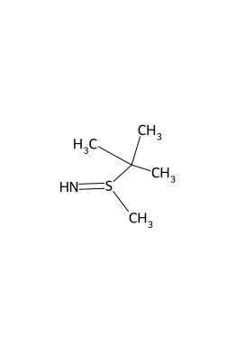 CS(=N)C(C)(C)C